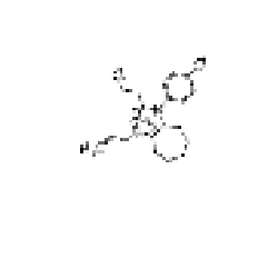 C=CCN(C)C1CCCCCC1N(C(=O)CCCl)c1ccc(Cl)cc1